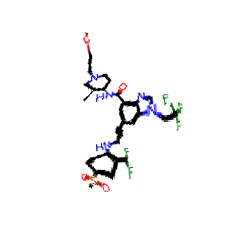 COCCN1CC[C@H](NC(=O)c2cc(C#CCNc3ccc(S(C)(=O)=O)cc3C(F)F)cc3c2ncn3CC(F)(F)F)[C@@H](C)C1